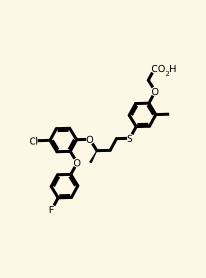 Cc1cc(SCC[C@@H](C)Oc2ccc(Cl)cc2Oc2ccc(F)cc2)ccc1OCC(=O)O